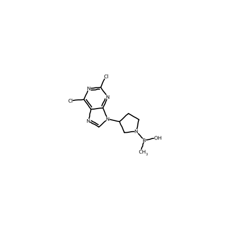 CB(O)N1CCC(n2cnc3c(Cl)nc(Cl)nc32)C1